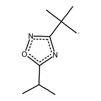 [CH2]C(C)(C)c1noc(C(C)C)n1